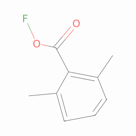 Cc1cccc(C)c1C(=O)OF